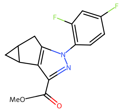 COC(=O)c1nn(-c2ccc(F)cc2F)c2c1C1CC1C2